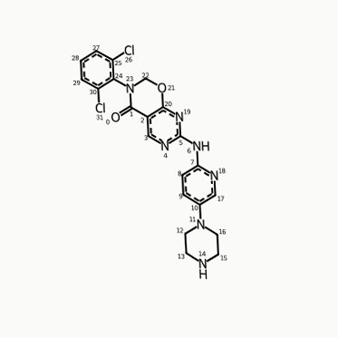 O=C1c2cnc(Nc3ccc(N4CCNCC4)cn3)nc2OCN1c1c(Cl)cccc1Cl